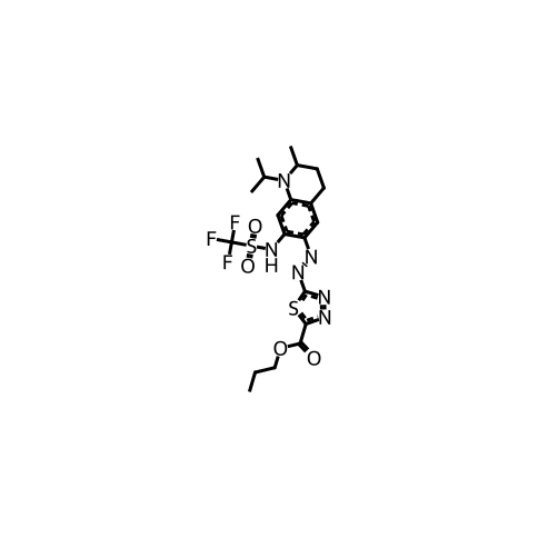 CCCOC(=O)c1nnc(N=Nc2cc3c(cc2NS(=O)(=O)C(F)(F)F)N(C(C)C)C(C)CC3)s1